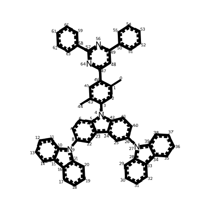 Cc1cc(-n2c3ccc(-n4c5ccccc5c5ccccc54)cc3c3cc(-n4c5ccccc5c5ccccc54)ccc32)c(C)cc1-c1cc(-c2ccccc2)nc(-c2ccccc2)n1